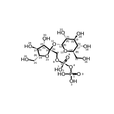 O=P(O)(O)OP(=O)(O)OC[C@@]1(O[C@H]2O[C@H](CO)[C@@H](O)[C@H](O)[C@H]2O)O[C@H](CO)[C@@H](O)[C@@H]1O